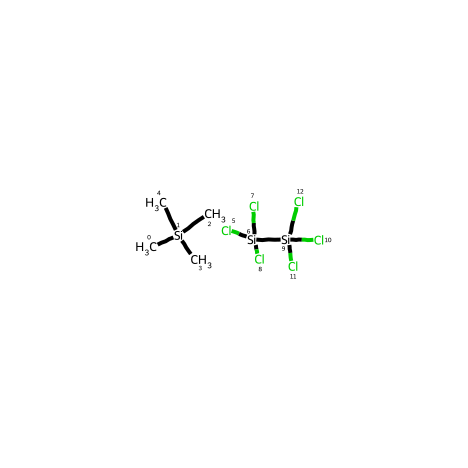 C[Si](C)(C)C.Cl[Si](Cl)(Cl)[Si](Cl)(Cl)Cl